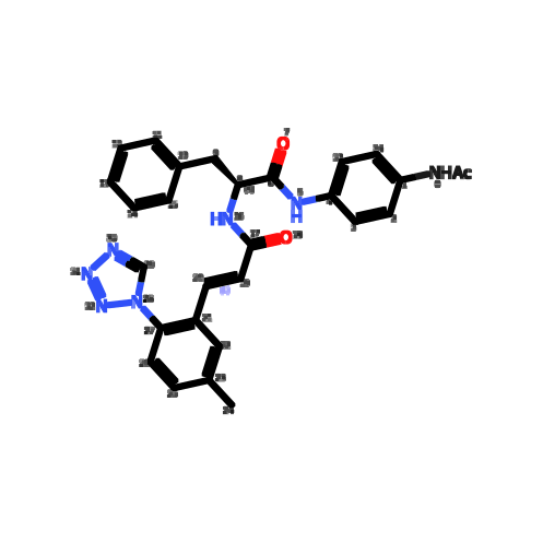 CC(=O)Nc1ccc(NC(=O)[C@H](Cc2ccccc2)NC(=O)/C=C/c2cc(C)ccc2-n2cnnn2)cc1